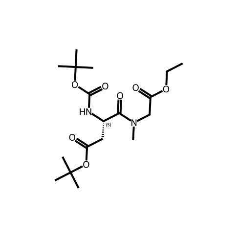 CCOC(=O)CN(C)C(=O)[C@H](CC(=O)OC(C)(C)C)NC(=O)OC(C)(C)C